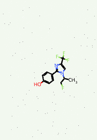 CC(CF)n1cc(C(F)(F)F)nc1-c1ccc(O)cc1